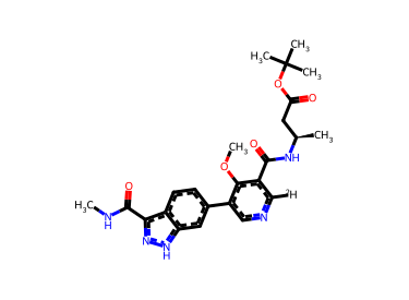 [2H]c1ncc(-c2ccc3c(C(=O)NC)n[nH]c3c2)c(OC)c1C(=O)N[C@H](C)CC(=O)OC(C)(C)C